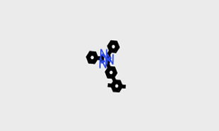 Cc1ccc(C)c(-c2ccc(-c3nc(-c4ccccc4)nc(-c4ccccc4)n3)cc2)c1